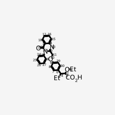 CCOC(C(=O)O)C(CC)c1ccc(OCc2nc3ccccc3c(=O)n2-c2ccccc2)cc1